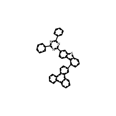 c1ccc(-c2nc(-c3ccccc3)nc(-c3ccc4c(c3)sc3cccc(-c5ccc6c7ccccc7c7ccccc7c6c5)c34)n2)cc1